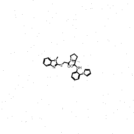 Cn1c(SCC(=O)N2CCC[C@@]2(C)C(=O)Nc2ccccc2-n2cccc2)nc2ccccc21